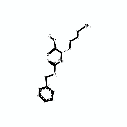 [2H]OC(=O)[C@H](CCCCN)NC(=O)OCc1ccccc1